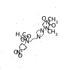 Cn1c(N2CCN(CCCN(c3ccc([N+](=O)[O-])cc3)S(C)(=O)=O)CC2)cc(=O)n(C)c1=O